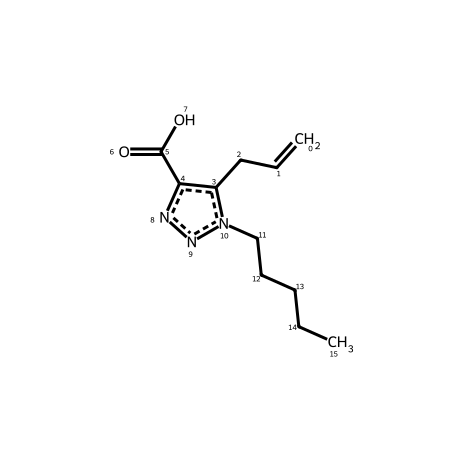 C=CCc1c(C(=O)O)nnn1CCCCC